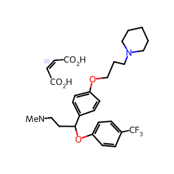 CNCCC(Oc1ccc(C(F)(F)F)cc1)c1ccc(OCCCN2CCCCC2)cc1.O=C(O)/C=C\C(=O)O